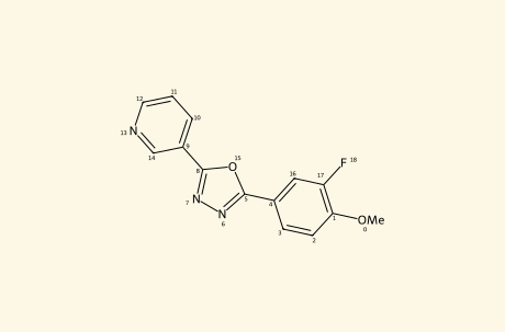 COc1ccc(-c2nnc(-c3cccnc3)o2)cc1F